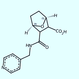 O=C(O)C1C(C(=O)NCc2ccncc2)[C@H]2CC[C@@H]1O2